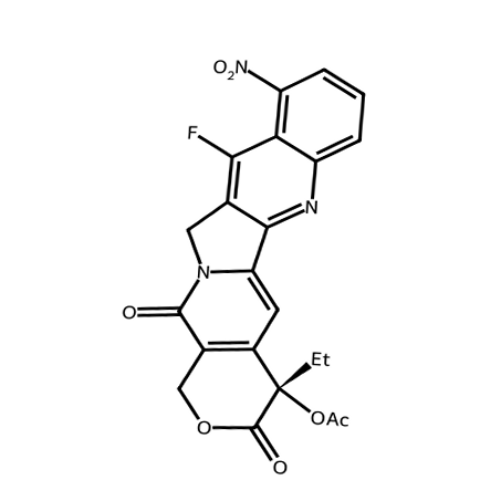 CC[C@@]1(OC(C)=O)C(=O)OCc2c1cc1n(c2=O)Cc2c-1nc1cccc([N+](=O)[O-])c1c2F